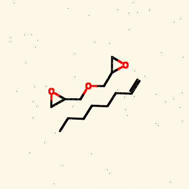 C(OCC1CO1)C1CO1.C=CCCCCCC